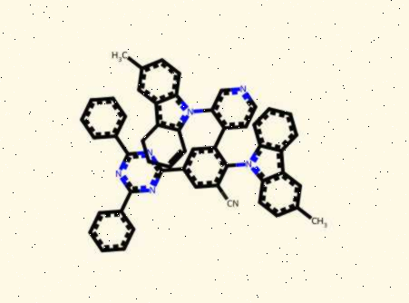 Cc1ccc2c(c1)c1c(n2-c2cnccc2-c2cc(-c3nc(-c4ccccc4)nc(-c4ccccc4)n3)cc(C#N)c2-n2c3ccccc3c3cc(C)ccc32)C=CCC1